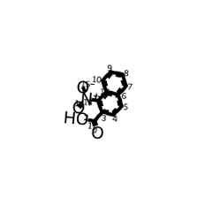 O=C(O)c1ccc2ccccc2c1[N+](=O)[O-]